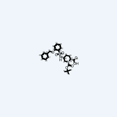 CC(C)(C)OC(=O)N1C[C@H](NS(=O)(=O)c2ccccc2OCc2ccccc2)CC[C@H]1C(=O)O